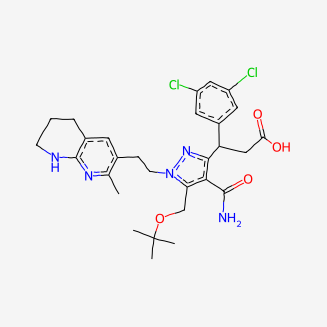 Cc1nc2c(cc1CCn1nc(C(CC(=O)O)c3cc(Cl)cc(Cl)c3)c(C(N)=O)c1COC(C)(C)C)CCCN2